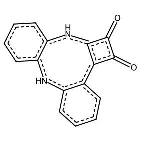 O=c1c(=O)c2c1[nH]c1ccccc1[nH]c1ccccc12